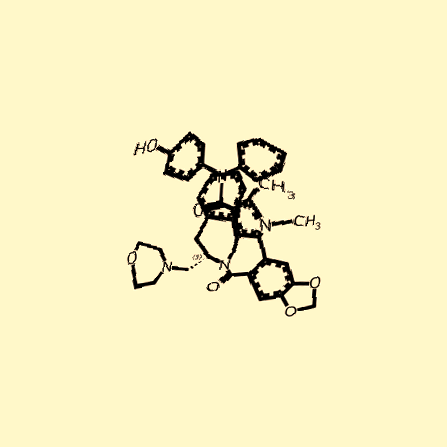 Cc1c(C(=O)N(c2ccccc2)c2ccc(O)cc2)cc(-c2cc3c(cc2C(=O)N2Cc4ccccc4C[C@H]2CN2CCOCC2)OCO3)n1C